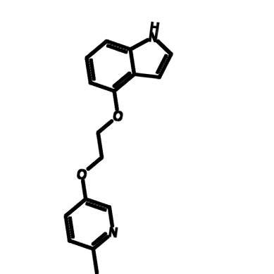 Cc1ccc(OCCOc2cccc3[nH]ccc23)cn1